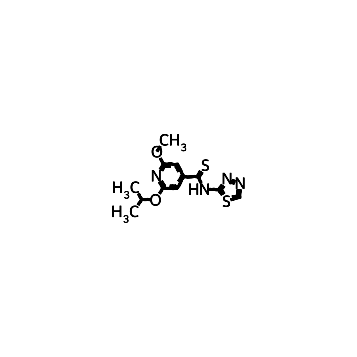 COc1cc(C(=S)Nc2nncs2)cc(OC(C)C)n1